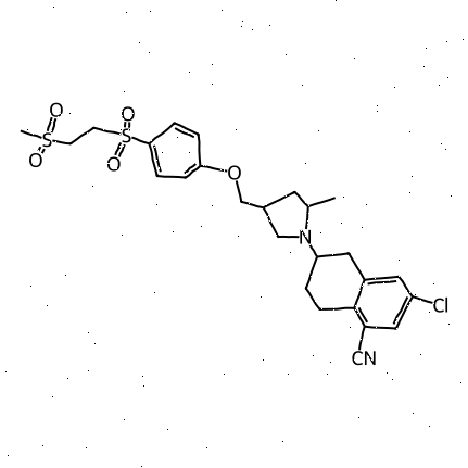 CC1CC(COc2ccc(S(=O)(=O)CCS(C)(=O)=O)cc2)CN1C1CCc2c(C#N)cc(Cl)cc2C1